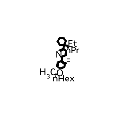 CCCCCC[C@H](C)Oc1ccc(-c2ccc(C3(C(CC)CCC)CCCCC3)cn2)c(F)c1